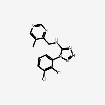 Cc1cncnc1CNc1nnnn1-c1cccc(Cl)c1Cl